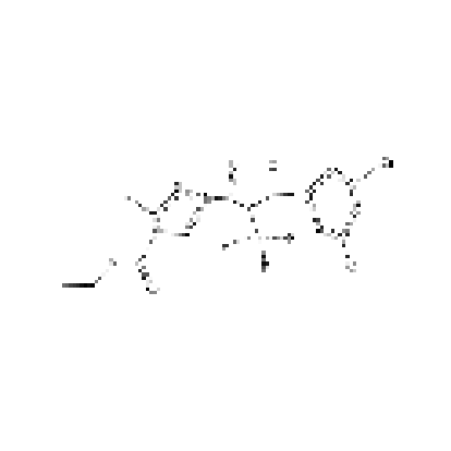 CCOC(=O)c1cn(C2=NOC(c3cc(Cl)cc(Cl)c3)C2C(F)(F)F)nc1C